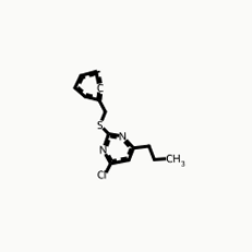 CCCc1cc(Cl)nc(SCc2ccccc2)n1